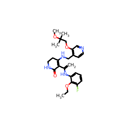 C=C(Nc1cccc(F)c1OCC)C1=C(NCc2ccncc2OCC(C)(C)OC)CCNC1=O